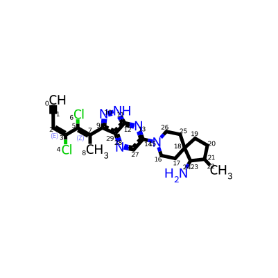 C#C/C=C(Cl)\C(Cl)=C(/C)c1n[nH]c2nc(N3CCC4(CCC(C)C4N)CC3)cnc12